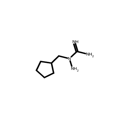 N=C(N)N(N)CC1CCCC1